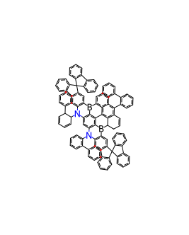 C1=CC(c2ccccc2)C(N2c3cc4c(cc3B3c5c2cc2c6c5-c5c7c(c(-c8ccccc8-c8ccccc8)c8cccc3c58)C=CCC7B6c3cc5c(cc3N2c2ccccc2-c2ccccc2)-c2ccccc2C52c3ccccc3-c3ccccc32)C2(c3ccccc3-c3ccccc32)c2ccccc2-4)C=C1